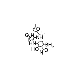 Bc1ccc(Nc2n[s+]([O-])nc2N[C@@H](c2ccc(C)o2)C(C)(C)C)c(O)c1C(=O)N(C)C